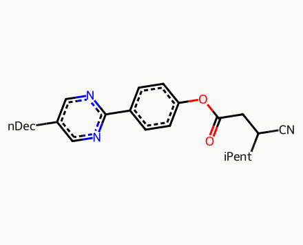 CCCCCCCCCCc1cnc(-c2ccc(OC(=O)CC(C#N)C(C)CCC)cc2)nc1